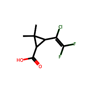 CC1(C)C(C(=O)O)C1C(Cl)=C(F)F